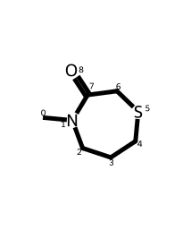 CN1CCCSCC1=O